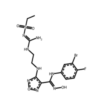 CCS(=O)(=O)/N=C(\N)NCCNc1nonc1/C(=N/O)Nc1ccc(F)c(Br)c1